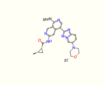 CC[C@@H]1CN(c2ccc3nc(-c4cnc(NC)c5cnc(NC(=O)[C@H]6C[C@H]6C)cc45)nn3c2)CCO1